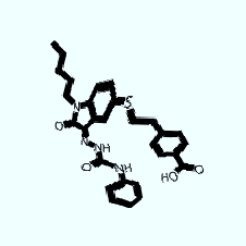 CCCCCN1C(=O)/C(=N/NC(=O)Nc2ccccc2)c2cc(SCCc3ccc(C(=O)O)cc3)ccc21